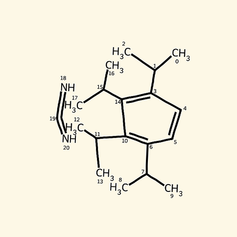 CC(C)c1ccc(C(C)C)c(C(C)C)c1C(C)C.N=C=N